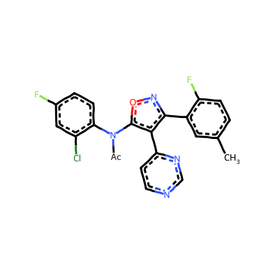 CC(=O)N(c1ccc(F)cc1Cl)c1onc(-c2cc(C)ccc2F)c1-c1ccncn1